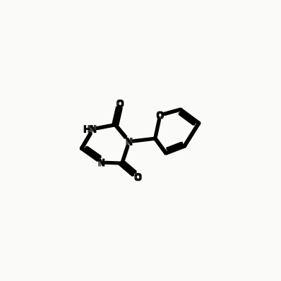 O=c1nc[nH]c(=O)n1C1C=CC=CO1